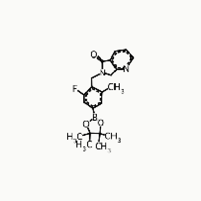 Cc1cc(B2OC(C)(C)C(C)(C)O2)cc(F)c1CN1Cc2ncccc2C1=O